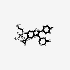 CC(C)CCN(c1cc2oc(-c3ccc(F)cc3)c(C3=NOCC(=O)N3)c2cc1C1CC1)S(C)(=O)=O